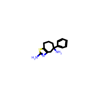 Nc1nc2c(s1)CCCC(N)(c1ccccc1)C2